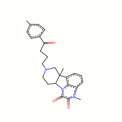 Cc1ccc(C(=O)CCCN2CCC3n4c(=O)c(=O)n(C)c5cccc(c54)C3(C)C2)cc1